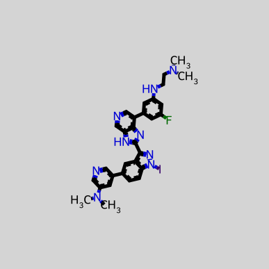 CN(C)CCNc1cc(F)cc(-c2cncc3[nH]c(-c4nn(I)c5ccc(-c6cncc(N(C)C)c6)cc45)nc23)c1